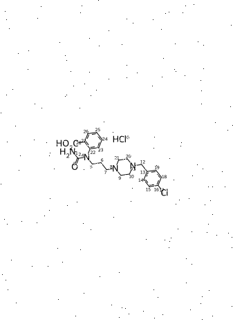 Cl.NC(=O)N(CCCN1CCN(Cc2ccc(Cl)cc2)CC1)c1ccccc1C(=O)O